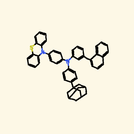 c1cc(-c2cccc3ccccc23)cc(N(c2ccc(N3c4ccccc4Sc4ccccc43)cc2)c2ccc(C34CC5CC(CC(C5)C3)C4)cc2)c1